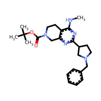 CNc1nc(C2CCN(Cc3ccccc3)C2)nc2c1CCN(C(=O)OC(C)(C)C)C2